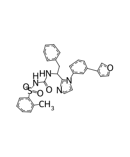 Cc1ccccc1S(=O)(=O)NC(=O)NC(Cc1ccccc1)c1nccn1-c1cccc(-c2ccoc2)c1